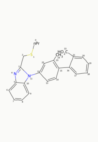 CCCSCc1nc2ccccc2n1-c1ccc(-c2ccccc2C(=O)O)c(C)c1